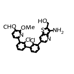 COc1nc(-c2cccc(-c3cccc(-c4cnc5c(N)c(CO)sc5c4)c3Cl)c2Cl)ccc1C=O